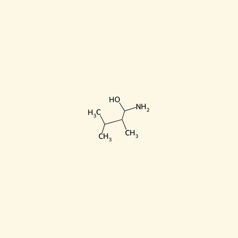 CC(C)C(C)C(N)O